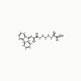 O=C(C=C1c2ccccc2-c2ccccc21)NCCCCCC(=O)NO